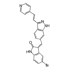 O=C1Nc2ccc(Br)cc2C1=Cc1ccc2c(/C=C/c3ccncc3)n[nH]c2c1